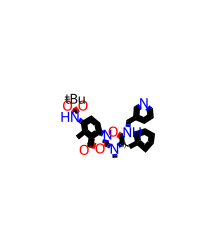 Cc1c(NC(=O)OC(C)(C)C)ccc2nc(N(C)[C@@H](Cc3ccccc3)C(=O)NCc3cccnc3)oc(=O)c12